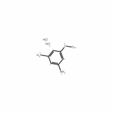 Cl.Cl.Nc1cc(N)cc([O][Ti])c1